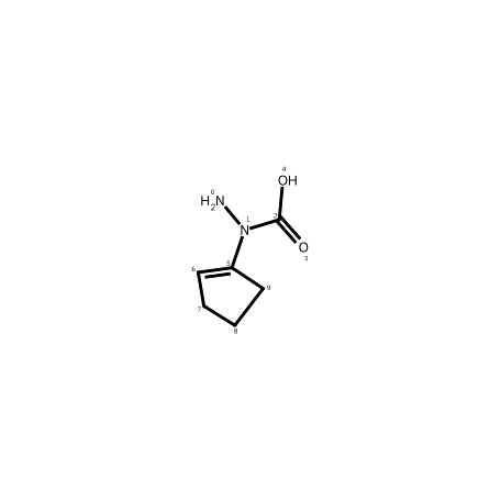 NN(C(=O)O)C1=CCCC1